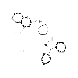 Cc1cc(N[C@H]2CC[C@@H](NC(=O)C(c3ccccc3)c3ccccc3)CC2)nc2ccccc12.Cl